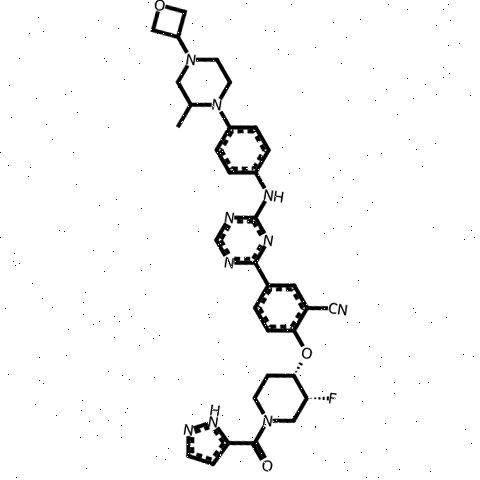 CC1CN(C2COC2)CCN1c1ccc(Nc2ncnc(-c3ccc(O[C@H]4CCN(C(=O)c5ccn[nH]5)C[C@H]4F)c(C#N)c3)n2)cc1